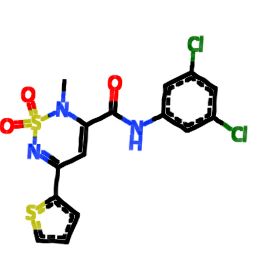 CN1C(C(=O)Nc2cc(Cl)cc(Cl)c2)=CC(c2cccs2)=NS1(=O)=O